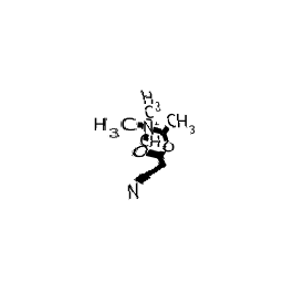 CC(OC(=O)CC#N)[N+](C)(C)C